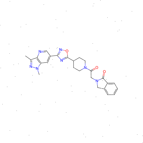 Cc1nn(C)c2cc(-c3noc(C4CCN(C(=O)CN5Cc6ccccc6C5=O)CC4)n3)cnc12